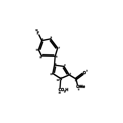 COC(=O)c1cc(-c2ccc(F)cc2)cn1C(=O)O